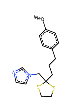 COc1ccc(CCCC2(Cn3ccnc3)SCCS2)cc1